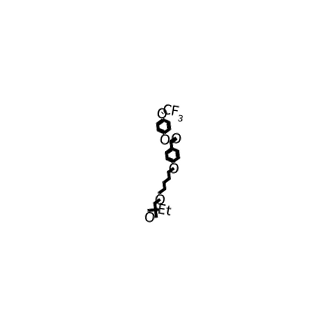 CCC1(COCCCCCOc2ccc(C(=O)Oc3ccc(OC(F)(F)F)cc3)cc2)COC1